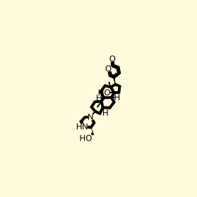 C[C@]12CC[C@H](N3CCN[C@@H](CO)C3)C[C@H]1CC[C@@H]1[C@@H]2CC[C@]2(C)[C@@H](c3ccc(=O)oc3)CC[C@]12O